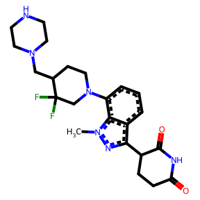 Cn1nc(C2CCC(=O)NC2=O)c2cccc(N3CCC(CN4CCNCC4)C(F)(F)C3)c21